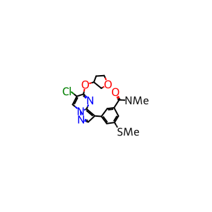 CNC(=O)c1cc(SC)cc(-c2cnn3cc(Cl)c(OC4CCOC4)nc23)c1